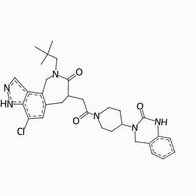 CC(C)(C)CN1Cc2c(cc(Cl)c3[nH]ncc23)CC(CC(=O)N2CCC(N3Cc4ccccc4NC3=O)CC2)C1=O